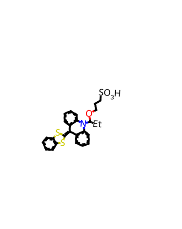 CCC(OCCCS(=O)(=O)O)N1c2ccccc2C(=C2Sc3ccccc3S2)c2ccccc21